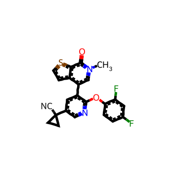 Cn1cc(-c2cc(C3(C#N)CC3)cnc2Oc2ccc(F)cc2F)c2ccsc2c1=O